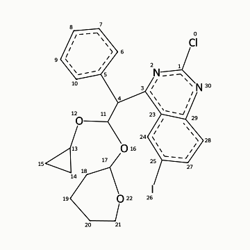 Clc1nc(C(c2ccccc2)C(OC2CC2)OC2CCCCO2)c2cc(I)ccc2n1